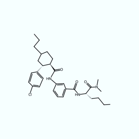 CCCC[C@H](NC(=O)c1cccc(NC(=O)[C@@H]2CCC(CCC)C[C@H]2c2ccc(Cl)cc2)c1)C(=O)N(C)C